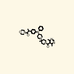 Cc1ncnc(C)c1C(=O)N1CCC(C)(N2CCC(N(c3ccccc3)c3ccc(C(C)C(=O)N4CCOCC4)cc3)CC2)CC1